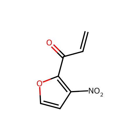 C=CC(=O)c1occc1[N+](=O)[O-]